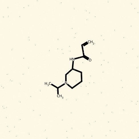 C=CC(=O)NC1CCCN(C(C)C)C1